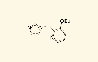 CC(C)COc1cccnc1Cn1ccnc1